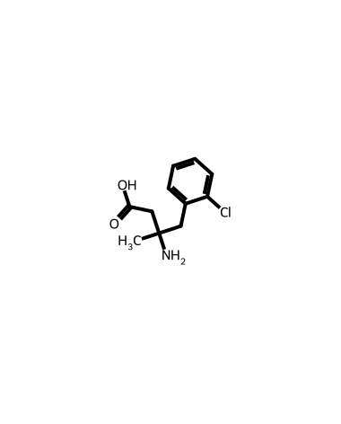 CC(N)(CC(=O)O)Cc1ccccc1Cl